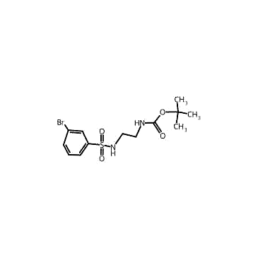 CC(C)(C)OC(=O)NCCNS(=O)(=O)c1cccc(Br)c1